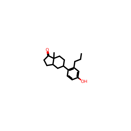 CCCc1cc(O)ccc1C1CCC2(C)C(=O)CCC2C1